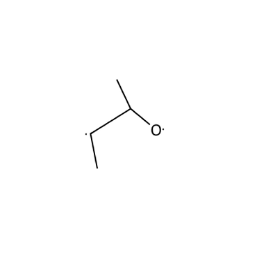 C[CH]C(C)[O]